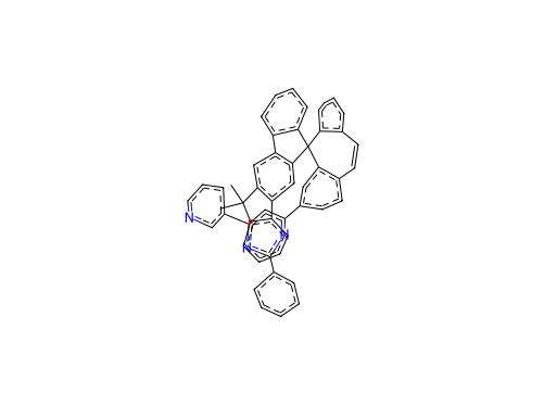 CC1(C)c2ccccc2-c2cc3c(cc21)-c1ccccc1C31c2ccccc2C=Cc2ccc(-c3cc(-c4cccnc4)nc(-c4ccccc4)n3)cc21